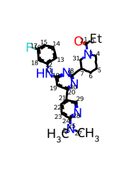 CCC(=O)N1CCCC(c2nc(Nc3cccc(F)c3)cc(-c3ccc(N(C)C)nc3)n2)C1